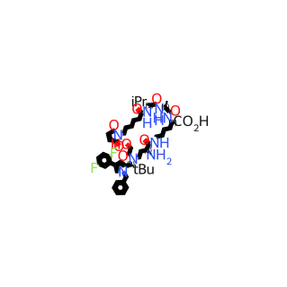 CC(C)[C@H](NC(=O)CCCCCN1C(=O)C=CC1=O)C(=O)N[C@@H](C)C(=O)N[C@@H](CCCCNC(=O)[C@@H](N)CCN(C(=O)CO)[C@@H](c1cc(-c2cc(F)ccc2F)cn1Cc1ccccc1)C(C)(C)C)C(=O)O